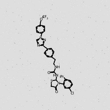 CC(C)c1ccc(Cl)cc1N1C(=O)CSC1NC(=O)NCCc1ccc(-c2ncn(-c3ccc(OC(F)(F)F)cc3)n2)cc1